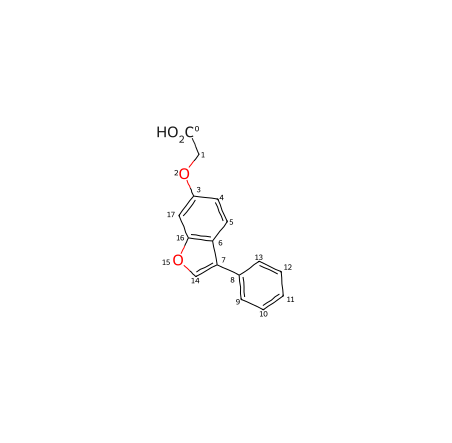 O=C(O)COc1ccc2c(-c3ccccc3)coc2c1